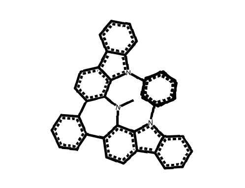 CN1c2c(ccc3c4ccccc4n(-c4ccccc4)c23)-c2ccccc2-c2ccc3c4ccccc4n(-c4ccccc4)c3c21